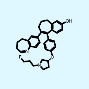 Oc1ccc2c(c1)CCCC(c1ccc3c(c1)CCCC=N3)=C2c1ccc(O[C@H]2CCN(CCCF)C2)cc1